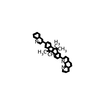 CC1(C)C2=C(c3ccc(-c4cnc5ccccc5c4)cc31)C(C)(C)c1cc(-c3ccc4ccc5cccnc5c4n3)ccc12